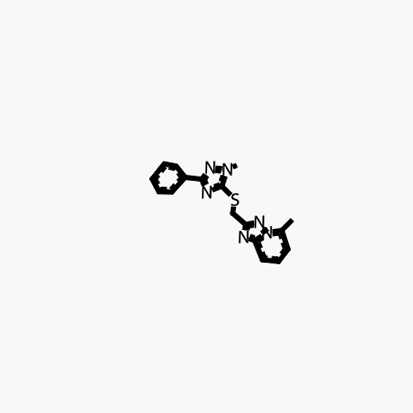 Cc1cccc2nc(CSc3nc(-c4ccccc4)nn3C)nn12